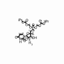 CC(C)OC(=O)OCOP(=O)(OCOC(=O)OC(C)C)OC[C@@]1(F)O[C@@H](n2ccc(=O)[nH]c2=O)[C@](C)(O)[C@@H]1O